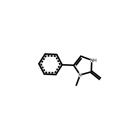 C=C1NC=C(c2ccccc2)N1C